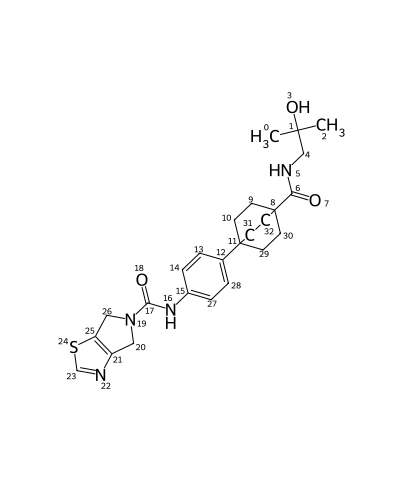 CC(C)(O)CNC(=O)C12CCC(c3ccc(NC(=O)N4Cc5ncsc5C4)cc3)(CC1)CC2